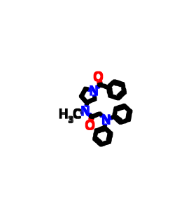 CN(C(=O)CN(c1ccccc1)c1ccccc1)C1CCN(C(=O)c2ccccc2)C1